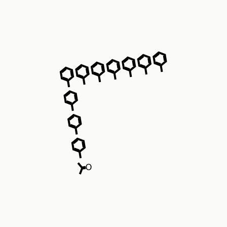 CC(C)=O.Cc1ccccc1.Cc1ccccc1.Cc1ccccc1.Cc1ccccc1.Cc1ccccc1.Cc1ccccc1.Cc1ccccc1.Cc1ccccc1.Cc1ccccc1.Cc1ccccc1